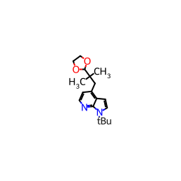 CC(C)(Cc1ccnc2c1ccn2C(C)(C)C)C1OCCO1